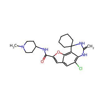 C=C1Nc2c(Cl)cc3cc(C(=O)NC4CCN(C)CC4)oc3c2C2(CCCCC2)N1